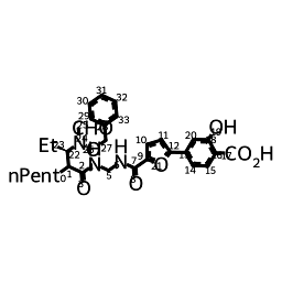 CCCCCC(C(=O)NCNC(=O)c1ccc(-c2ccc(C(=O)O)c(O)c2)o1)[C@@H](CC)N(C=O)OCc1ccccc1